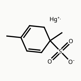 CC1=CCC(C)(S(=O)(=O)[O-])C=C1.[Hg+]